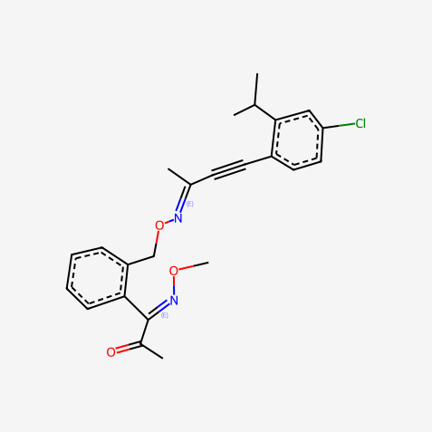 CO/N=C(/C(C)=O)c1ccccc1CO/N=C(\C)C#Cc1ccc(Cl)cc1C(C)C